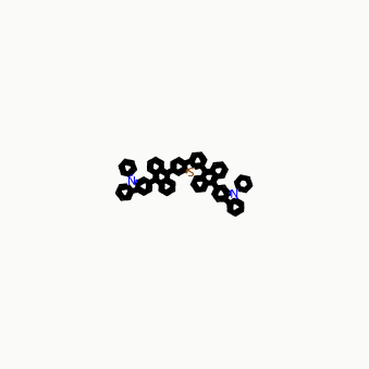 c1ccc(-n2c3ccccc3c3ccc(-c4c5ccccc5c(-c5ccc6c(c5)sc5c(-c7c8ccccc8c(-c8ccc9c%10ccccc%10n(C%10CCCCC%10)c9c8)c8ccccc78)cccc56)c5ccccc45)cc32)cc1